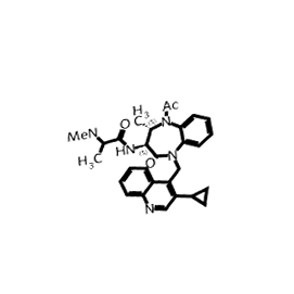 CNC(C)C(=O)N[C@@H]1C(=O)N(Cc2c(C3CC3)cnc3ccccc23)c2ccccc2N(C(C)=O)[C@H]1C